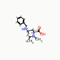 CC1CC(NCc2ccccc2)C[C@@H](C(=O)O)N1C